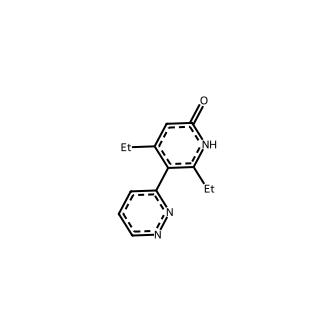 CCc1cc(=O)[nH]c(CC)c1-c1cccnn1